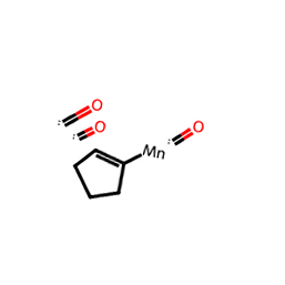 [C]=O.[C]=O.[C]=O.[Mn][C]1=CCCC1